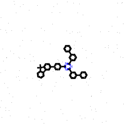 CC1(C)c2ccccc2-c2cc(-c3ccc(-c4nc(-c5cccc(-c6ccccc6)c5)nc(-c5cccc(-c6ccccc6)c5)n4)cc3)ccc21